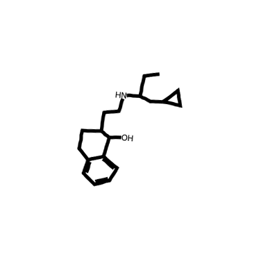 CCC(CC1CC1)NCCC1CCc2ccccc2C1O